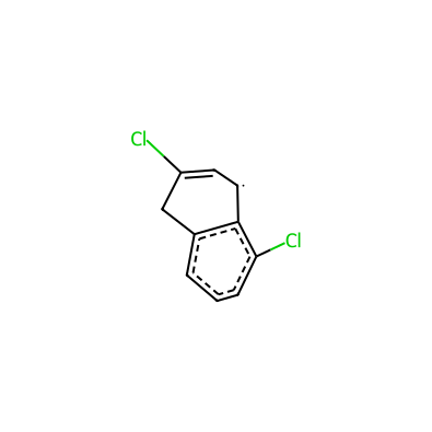 ClC1=C[CH]c2c(Cl)cccc2C1